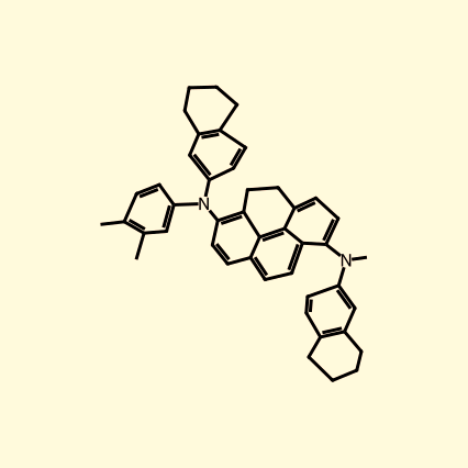 Cc1ccc(N(c2ccc3c(c2)CCCC3)c2ccc3ccc4c(N(C)c5ccc6c(c5)CCCC6)ccc5c4c3c2CC5)cc1C